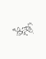 COC(=O)NC(C(=O)N1CCC[C@]1(C(=O)O)C1CCC1)C(C)(C)C